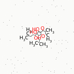 CCC(C)C(=O)C1=C(O)[C@](O)(C(O)CCC(C)C)[C@H](CCC(C)C)C1=O